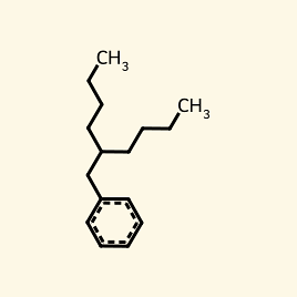 CCCCC(CCCC)Cc1ccccc1